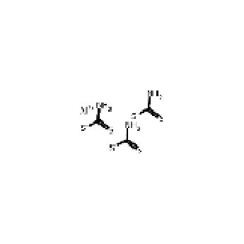 NC(=S)[S-].NC(=S)[S-].NC(=S)[S-].[Al+3]